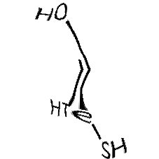 OC=[TeH]S